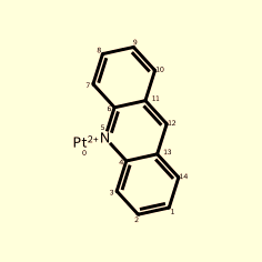 [Pt+2].c1ccc2nc3ccccc3cc2c1